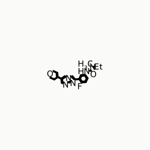 CCN(C)C(=O)Nc1ccc(F)c(-c2cn3cc(C4=CCOCC4)cnc3n2)c1